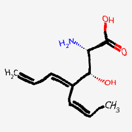 C=C/C=C(\C=C/C)[C@@H](O)[C@H](N)C(=O)O